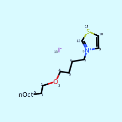 CCCCCCCCCCOCCCC[n+]1ccsc1.[I-]